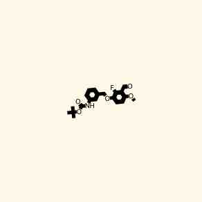 COc1ccc(OCc2cccc(NC(=O)OC(C)(C)C)c2)c(F)c1C=O